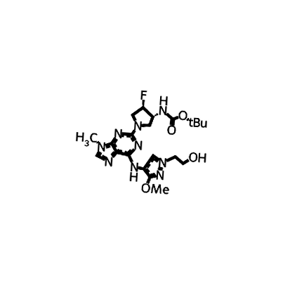 COc1nn(CCO)cc1Nc1nc(N2C[C@@H](F)[C@H](NC(=O)OC(C)(C)C)C2)nc2c1ncn2C